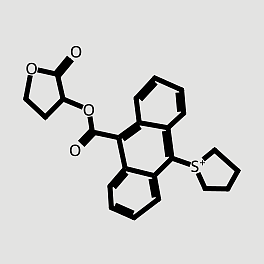 O=C(OC1CCOC1=O)c1c2ccccc2c([S+]2CCCC2)c2ccccc12